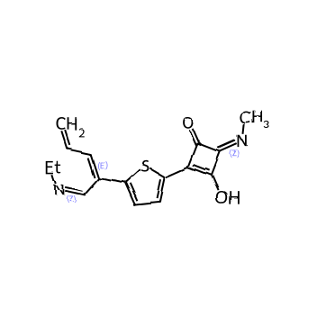 C=C/C=C(\C=N/CC)c1ccc(-c2c(O)/c(=N/C)c2=O)s1